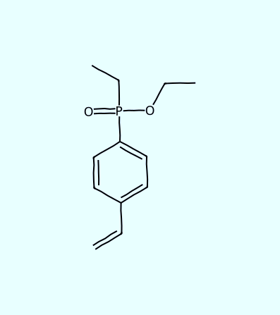 C=Cc1ccc(P(=O)(CC)OCC)cc1